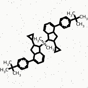 CC(C)(C)c1ccc(C2=CC=CC3C2CC(C2CC2)C3[Si](C)(C)C2C3C=CC=C(c4ccc(C(C)(C)C)cc4)C3CC2C2CC2)cc1